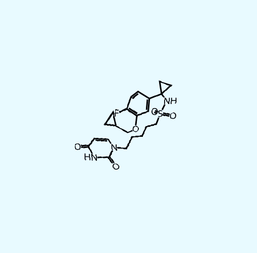 O=c1ccn(CCCCCS(=O)(=O)NC2(c3ccc(F)c(OCC4CC4)c3)CC2)c(=O)[nH]1